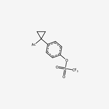 CC(=O)C1(c2ccc(OS(=O)(=O)C(F)(F)F)cc2)CC1